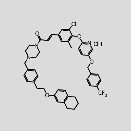 Cc1cc(/C=C/C(=O)N2CCN(Cc3ccc(CCOc4ccc5c(c4)CCCC5)cc3)CC2)cc(Cl)c1Oc1ccc(OCc2ccc(C(F)(F)F)cc2)cn1.Cl